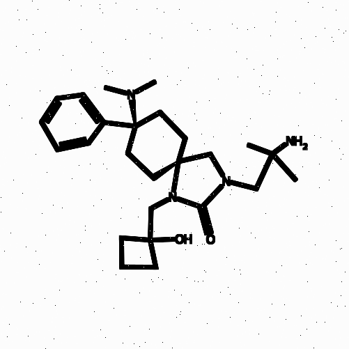 CN(C)[C@]1(c2ccccc2)CC[C@@]2(CC1)CN(CC(C)(C)N)C(=O)N2CC1(O)CCC1